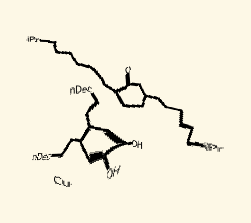 CC(C)CCCCCCC1CCC(CCCCCCC(C)C)C(=O)C1.CCCCCCCCCCCCc1cc(O)c(O)cc1CCCCCCCCCCCC.[Cu]